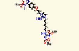 CC(C)(C)OC(=O)/N=C(/NCCCCCCCn1ccn(CCCOc2ccc(C(=N)NC(=O)OC(C)(C)C)cc2)c1=N)NC(=O)OC(C)(C)C